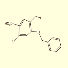 O=C(O)c1cc(CI)c(OCc2ccccc2)cc1Cl